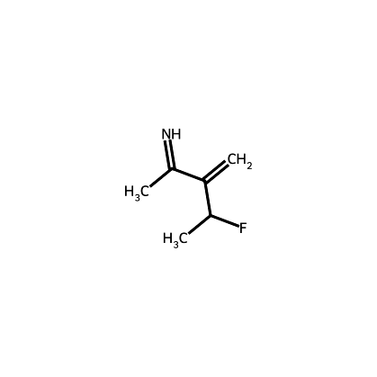 C=C(C(C)=N)C(C)F